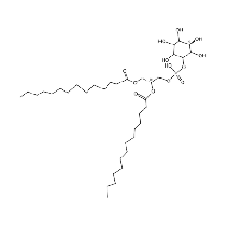 CCCCCCCCCCCCCC(=O)OC[C@H](COP(=O)(O)OC1C(O)C(O)C(O)[C@@H](O)C1O)OC(=O)CCCCCCCCCCCCC